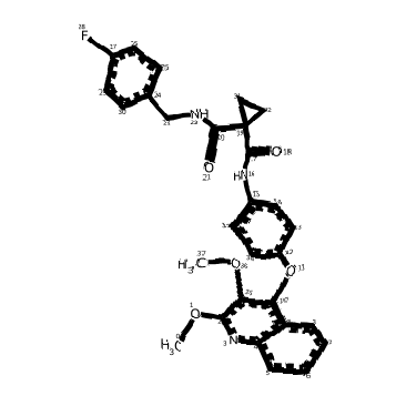 COc1nc2ccccc2c(Oc2ccc(NC(=O)C3(C(=O)NCc4ccc(F)cc4)CC3)cc2)c1OC